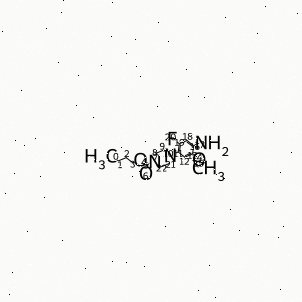 CCCCOC(=O)N1CCN(c2cc(OC)c(N)cc2F)CC1